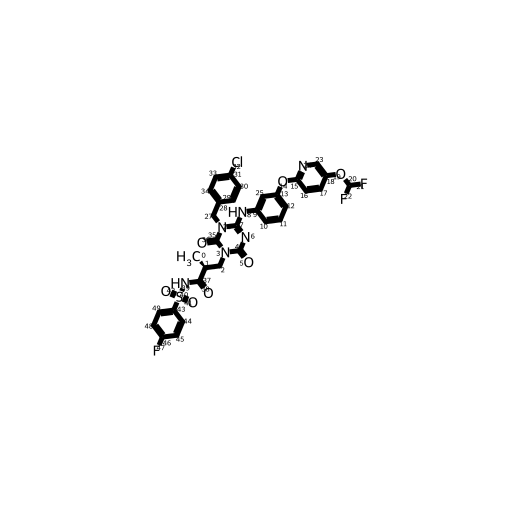 C[C@@H](Cn1c(=O)nc(Nc2cccc(Oc3ccc(OC(F)F)cn3)c2)n(Cc2ccc(Cl)cc2)c1=O)C(=O)NS(=O)(=O)c1ccc(F)cc1